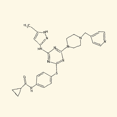 Cc1cc(Nc2nc(Sc3ccc(NC(=O)C4CC4)cc3)nc(N3CCN(Cc4ccncc4)CC3)n2)n[nH]1